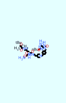 CCCCOc1nc(N)c2[nH]c(=O)n(Cc3ccc(CN4CCC(CCNC(=O)[C@@H](CCCCNC(=O)C(C)(C)COC(C)(C)C)NC(=O)CON)CC4)cc3)c2n1